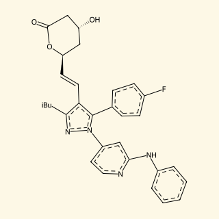 CCC(C)c1nn(-c2ccnc(Nc3ccccc3)c2)c(-c2ccc(F)cc2)c1C=C[C@@H]1C[C@@H](O)CC(=O)O1